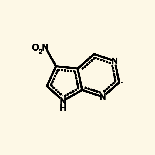 O=[N+]([O-])c1c[nH]c2n[c]ncc12